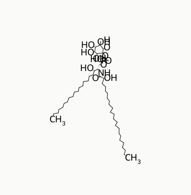 CCCCCCCCCCCCCCCCCCCCCCC(O)C(=O)N[C@@H](COP(=O)(O)OC1C(O)C(O)C(O)[C@@H](O)C1O)[C@H](O)CCCCCCCCCCCCCCCCC